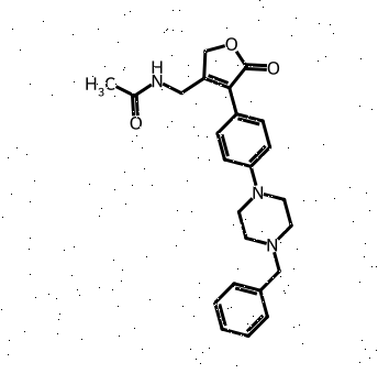 CC(=O)NCC1=C(c2ccc(N3CCN(Cc4ccccc4)CC3)cc2)C(=O)OC1